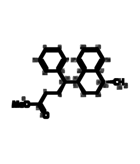 COC(=O)CC[C@@H](c1ccccc1)[C@@H]1CC[C@@H](C)c2ccccc21